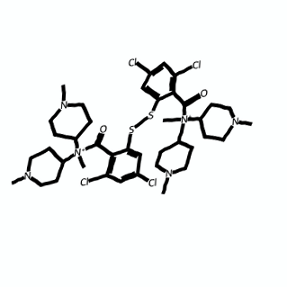 CN1CCC([N+](C)(C(=O)c2c(Cl)cc(Cl)cc2SSc2cc(Cl)cc(Cl)c2C(=O)[N+](C)(C2CCN(C)CC2)C2CCN(C)CC2)C2CCN(C)CC2)CC1